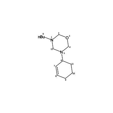 CCCCN1COCN(C2C=CCCC2)C1